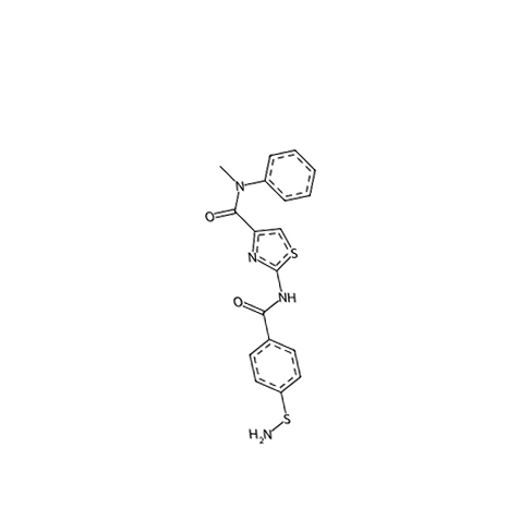 CN(C(=O)c1csc(NC(=O)c2ccc(SN)cc2)n1)c1ccccc1